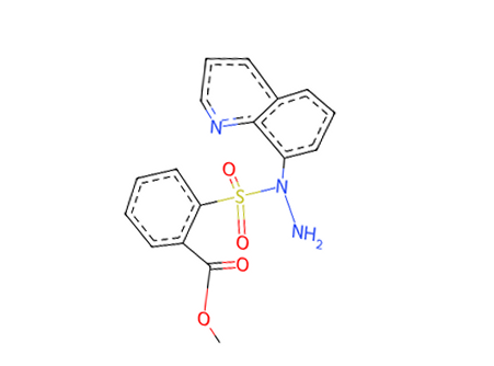 COC(=O)c1ccccc1S(=O)(=O)N(N)c1cccc2cccnc12